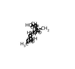 C=CCn1c(=O)c2cnc(Nc3ccc4c(c3)NC(=O)[C@H]3CN(C)CCN43)nc2n1-c1cccc(C(C)(C)O)n1